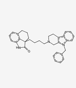 O=C1Nc2cccc3c2C1(CCCCN1CCc2c(n(Cc4ccccc4)c4ccccc24)C1)CCC3